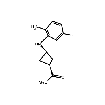 COC(=O)[C@H]1C[C@@H](Nc2cc(F)ccc2N)C1